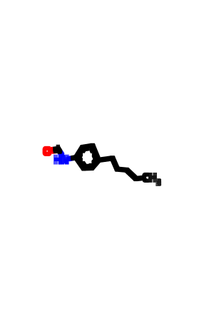 CCCCCc1ccc(N[C]=O)cc1